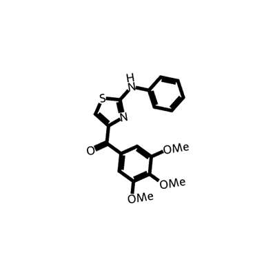 COc1cc(C(=O)c2csc(Nc3ccccc3)n2)cc(OC)c1OC